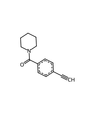 C#Cc1ccc(C(=O)N2CCCCC2)cc1